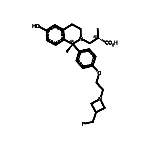 C[C@@H](CN1CCc2cc(O)ccc2[C@@]1(C)c1ccc(OCCN2CC(CF)C2)cc1)C(=O)O